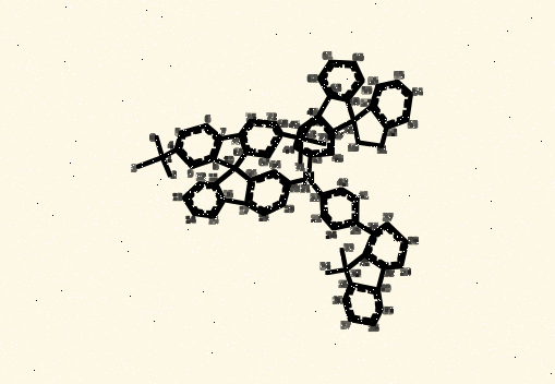 CC(C)(C)c1ccc2c(c1)C1(c3ccccc3-c3ccc(N(c4ccc(-c5cccc6c5C(C)(C)c5ccccc5-6)cc4)c4ccc5c(c4)C4(CCc6ccccc64)c4ccccc4-5)cc31)c1cc(C(C)(C)C)ccc1-2